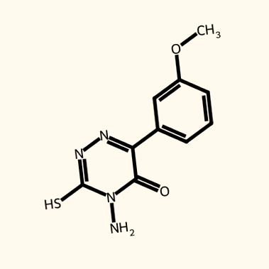 COc1cccc(-c2nnc(S)n(N)c2=O)c1